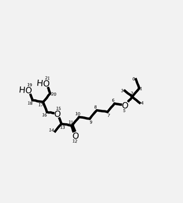 CCC(C)(C)OCCCCCC(=O)C(C)OCC(CO)CO